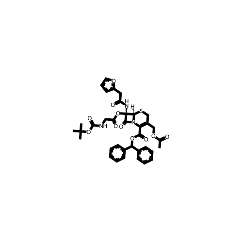 CC(=O)OCC1=C(C(=O)OC(c2ccccc2)c2ccccc2)N2C(=O)[C@](NC(=O)Cc3ccco3)(OC(=O)CNC(=O)OC(C)(C)C)[C@H]2SC1